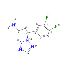 CN(C)CCC(c1ccc(F)c(F)c1)n1ncnn1